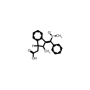 CC1C(=C(c2ccccc2)[S+](C)[O-])c2ccccc2C1(F)CC(=O)O